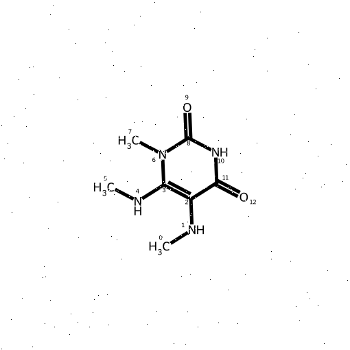 CNc1c(NC)n(C)c(=O)[nH]c1=O